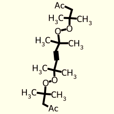 CC(=O)CC(C)(C)OOC(C)(C)C#CC(C)(C)OOC(C)(C)CC(C)=O